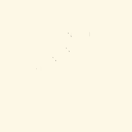 Cc1cn(-c2nc(Cl)c(-c3ccccc3)c3ccccc23)c(-c2ccccc2)n1